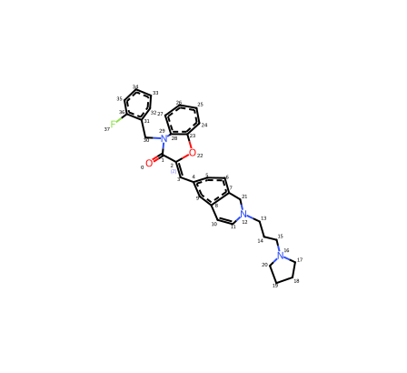 O=C1/C(=C/c2ccc3c(c2)C=CN(CCCN2CCCC2)C3)Oc2ccccc2N1Cc1ccccc1F